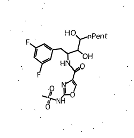 CCCCCC(O)C(O)C(Cc1cc(F)cc(F)c1)NC(=O)c1coc(NS(C)(=O)=O)n1